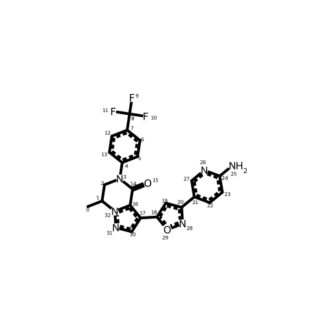 CC1CN(c2ccc(C(F)(F)F)cc2)C(=O)c2c(-c3cc(-c4ccc(N)nc4)no3)cnn21